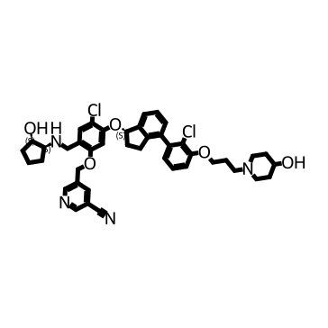 N#Cc1cncc(COc2cc(O[C@H]3CCc4c(-c5cccc(OCCCN6CCC(O)CC6)c5Cl)cccc43)c(Cl)cc2CN[C@H]2CCC[C@@H]2O)c1